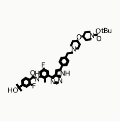 Cc1c(NC(=O)c2ccc(C(C)(C)O)cc2F)cc(F)cc1-c1ncnc2[nH]c(-c3ccc(CCN4CCC(OC5CCN(C(=O)OC(C)(C)C)CC5)CC4)cc3)cc12